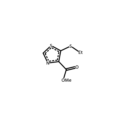 CCSc1scnc1C(=O)OC